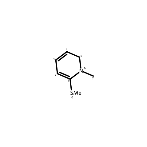 CSC1=CC=CCN1C